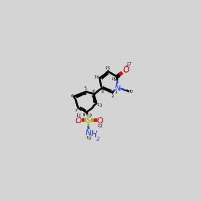 Cn1cc(-c2cccc(S(N)(=O)=O)c2)ccc1=O